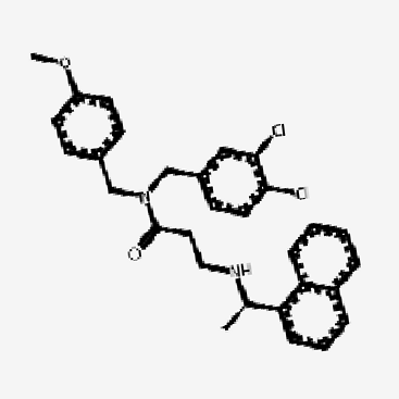 COc1ccc(CN(Cc2ccc(Cl)c(Cl)c2)C(=O)CCN[C@H](C)c2cccc3ccccc23)cc1